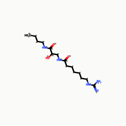 N=C(N)NCCCCCCC(=O)NCC(O)C(=O)NCCCC(=O)O